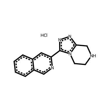 Cl.c1ccc2cc(-c3nnc4n3CCNC4)ncc2c1